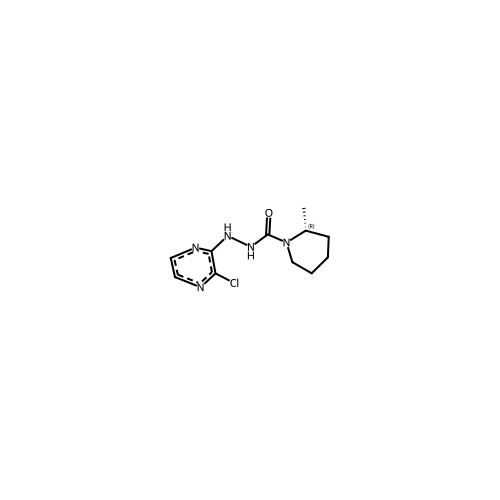 C[C@@H]1CCCCN1C(=O)NNc1nccnc1Cl